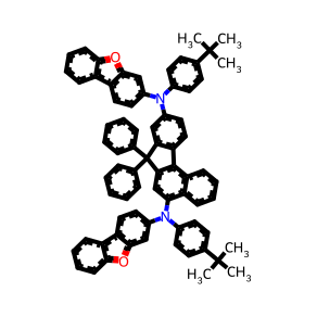 CC(C)(C)c1ccc(N(c2ccc3c(c2)C(c2ccccc2)(c2ccccc2)c2cc(N(c4ccc(C(C)(C)C)cc4)c4ccc5c(c4)oc4ccccc45)c4ccccc4c2-3)c2ccc3c(c2)oc2ccccc23)cc1